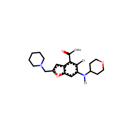 CCc1c(N(CC)C2CCOCC2)cc2oc(CN3CCCCC3)cc2c1C(=O)OC